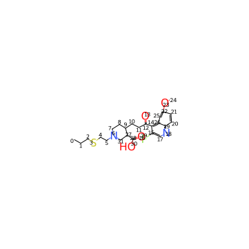 CCCSCCN1CCC(CCC(=O)c2c(F)cnc3ccc(OC)cc23)C(C(=O)O)C1